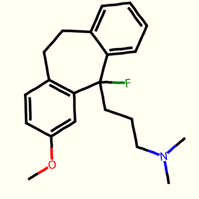 COc1ccc2c(c1)C(F)(CCCN(C)C)c1ccccc1CC2